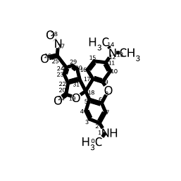 CNc1ccc2c(c1)Oc1cc(N(C)C)ccc1C21OC(=O)c2cc(C(=O)N=O)ccc21